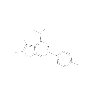 CCN(C)c1nc(-c2ccc(C)cc2)nc2sc(C#N)c(C)c12